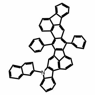 c1ccc(-c2c3cc4c5ccccc5c5cccc(c3c(-c3ccccc3)c3c6cc7c(c8cccc(c23)c68)c2ccccc2n7-c2ccc3ccccc3c2)c54)cc1